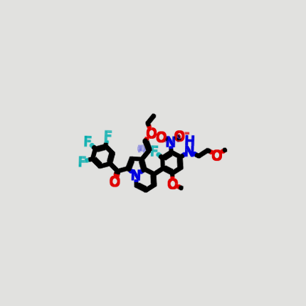 CCO/C=C/c1cc(C(=O)c2cc(F)c(F)c(F)c2)n2cccc(-c3c(OC)cc(NCCOC)c([N+](=O)[O-])c3F)c12